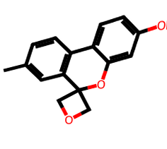 Cc1ccc2c(c1)C1(COC1)Oc1cc(O)ccc1-2